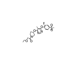 CCOCC(=O)N1CCC(Oc2ncnc(Oc3ccc(S(C)(=O)=O)cc3F)c2C)CC1